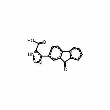 O=C1c2ccccc2-c2ccc(-c3nn[nH]c3C(=O)O)cc21